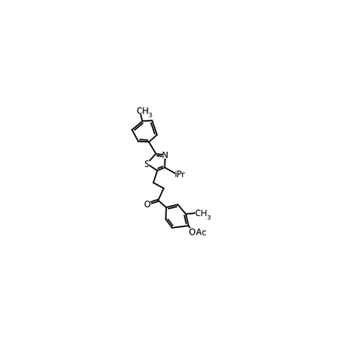 CC(=O)Oc1ccc(C(=O)CCc2sc(-c3ccc(C)cc3)nc2C(C)C)cc1C